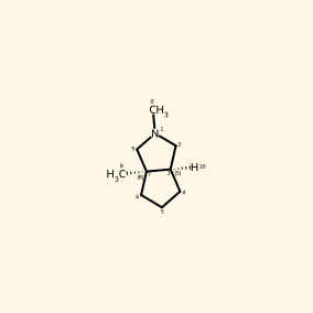 CN1C[C@H]2CCC[C@@]2(C)C1